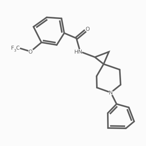 O=C(NC1CC12CCN(c1ccccc1)CC2)c1cccc(OC(F)(F)F)c1